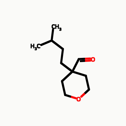 CC(C)CCC1(C=O)CCOCC1